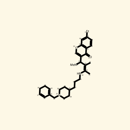 CCc1ccc2c(=O)c(C(NC)/C(C)=C(/C)NCCCC3CCN(CC4=CCCC=C4)CC3)coc2c1